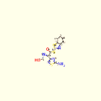 Nc1nc(/C(=N\CO)C(=O)Sc2nc3ccccc3s2)ns1